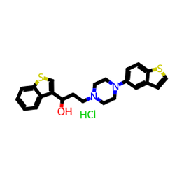 Cl.OC(CCN1CCN(c2ccc3sccc3c2)CC1)c1csc2ccccc12